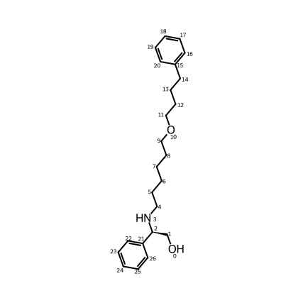 OC[C@H](NCCCCCCOCCCCc1ccccc1)c1ccccc1